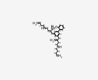 Cc1ccccc1-c1cc(CC(N)CCNCCCN)cc(CC(N)CCNCCCN)c1